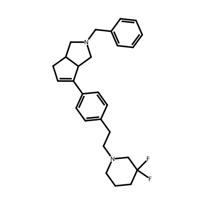 FC1(F)CCCN(CCc2ccc(C3=CCC4CN(Cc5ccccc5)CC34)cc2)C1